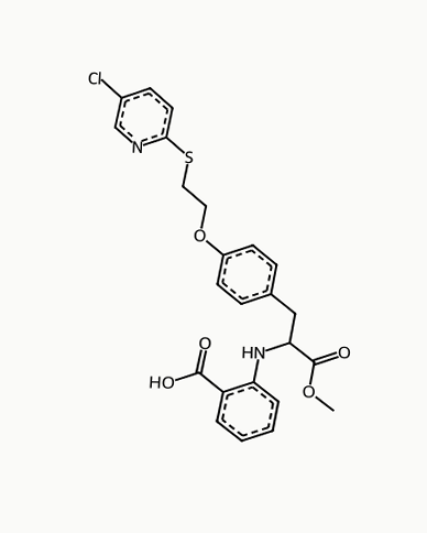 COC(=O)C(Cc1ccc(OCCSc2ccc(Cl)cn2)cc1)Nc1ccccc1C(=O)O